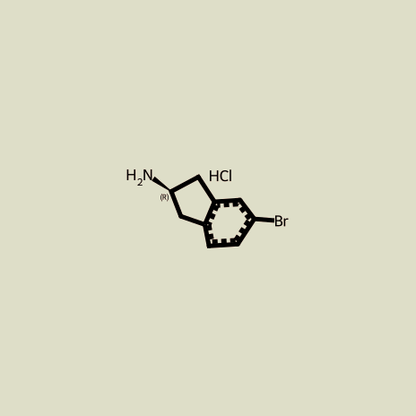 Cl.N[C@@H]1Cc2ccc(Br)cc2C1